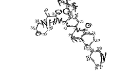 CC(C(=O)Nc1cc(-n2cnc3cc(-c4cccnc4)ccc3c2=O)ccc1OC(F)(F)F)N1CCOCC1